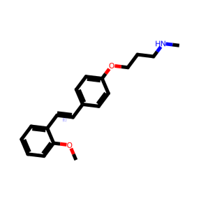 CNCCCOc1ccc(/C=C/c2ccccc2OC)cc1